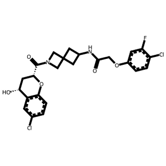 O=C(COc1ccc(Cl)c(F)c1)NC1CC2(C1)CN(C(=O)[C@H]1C[C@@H](O)c3cc(Cl)ccc3O1)C2